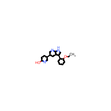 CCOc1ccccc1-c1c[nH]c2ncc(-c3ccc(O)nc3)cc12